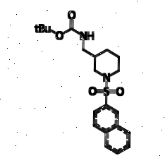 CC(C)(C)OC(=O)NCC1CCCN(S(=O)(=O)c2ccc3ccccc3c2)C1